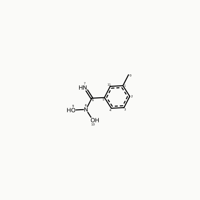 Cc1cccc(C(=N)N(O)O)c1